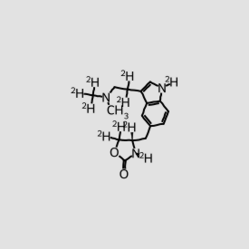 [2H]N1C(=O)OC([2H])([2H])[C@]1([2H])Cc1ccc2c(c1)c(C([2H])([2H])CN(C)C([2H])([2H])[2H])cn2[2H]